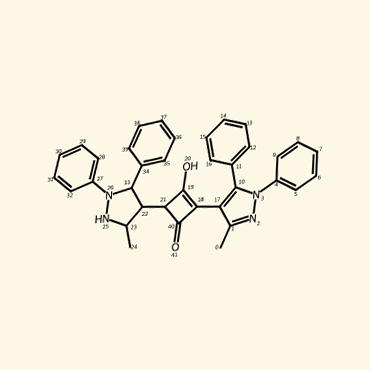 Cc1nn(-c2ccccc2)c(-c2ccccc2)c1C1=C(O)C(C2C(C)NN(c3ccccc3)C2c2ccccc2)C1=O